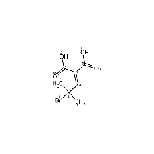 CC(C)(Br)C=C(C(=O)O)C(=O)O